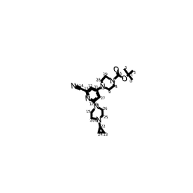 CC(C)(C)OC(=O)N1CCN(c2cc(C#N)nc(N3CCN(C4CC4)CC3)c2)CC1